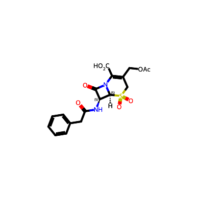 CC(=O)OCC1=C(C(=O)O)N2C(=O)[C@H](NC(=O)Cc3ccccc3)[C@@H]2S(=O)(=O)C1